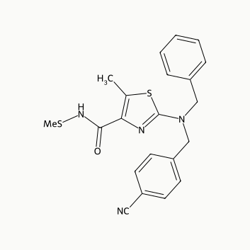 CSNC(=O)c1nc(N(Cc2ccccc2)Cc2ccc(C#N)cc2)sc1C